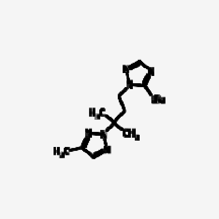 Cc1cnn(C(C)(C)CCn2ncnc2C(C)(C)C)n1